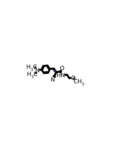 COCCNC(=O)/C(C#N)=C/c1ccc(N(C)C)cc1